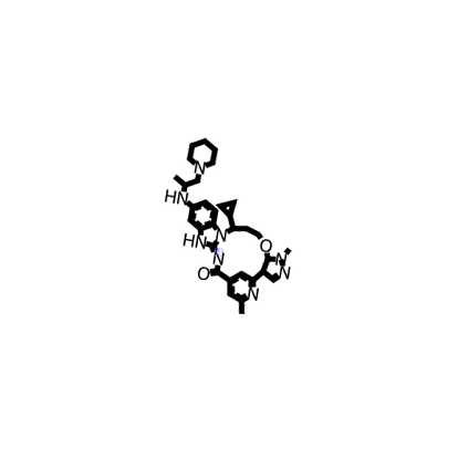 Cc1cc2cc(n1)C1C=NN(C)C1OCCC(C1CC1)N1/C(=N/C2=O)Nc2cc(NC(C)CN3CCCCC3)ccc21